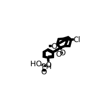 COC1(c2cccc(O[PH](=O)O)c2)OOC12C1CC3CC2CC(Cl)(C3)C1